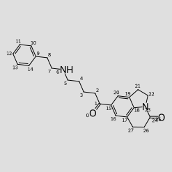 O=C(CCCCNCCc1ccccc1)c1cc2c3c(c1)CCN3C(=O)CC2